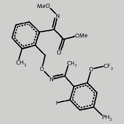 CO/N=C(/C(=O)OC)c1cccc(C)c1CO/N=C(\C)c1c(I)cc(P)cc1OC(F)(F)F